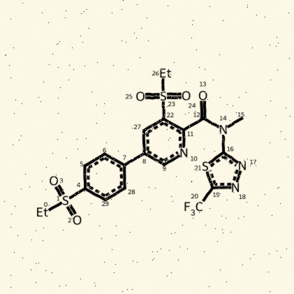 CCS(=O)(=O)c1ccc(-c2cnc(C(=O)N(C)c3nnc(C(F)(F)F)s3)c(S(=O)(=O)CC)c2)cc1